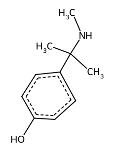 CNC(C)(C)c1ccc(O)cc1